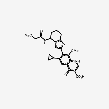 COCC(=O)NC1CCCc2sc(-c3c(C4CC4)cc4c(=O)c(C(=O)O)c[nH]c4c3OC)cc21